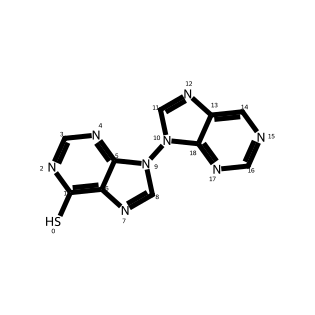 Sc1ncnc2c1ncn2-n1cnc2cncnc21